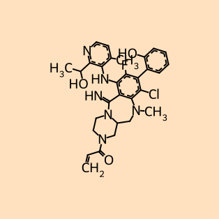 C=CC(=O)N1CCN2C(=N)c3c(Nc4c(C)ccnc4C(C)O)c(F)c(-c4ccccc4O)c(Cl)c3N(C)CC2C1